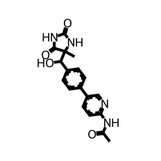 CC(=O)Nc1ccc(-c2ccc(C(O)C3(C)NC(=O)NC3=O)cc2)cn1